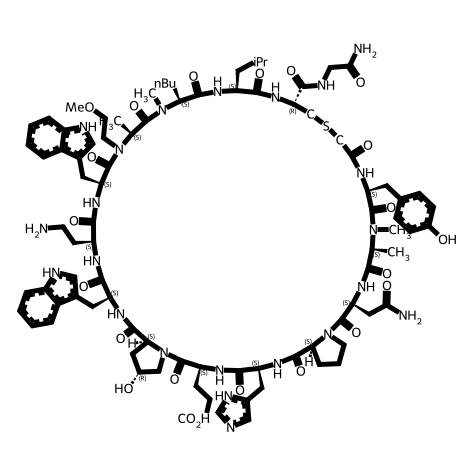 CCCC[C@H]1C(=O)N[C@@H](CC(C)C)C(=O)N[C@H](C(=O)NCC(N)=O)CSCC(=O)N[C@@H](Cc2ccc(O)cc2)C(=O)N(C)[C@@H](C)C(=O)N[C@@H](CC(N)=O)C(=O)N2CCC[C@H]2C(=O)N[C@@H](Cc2cnc[nH]2)C(=O)N[C@@H](CCC(=O)O)C(=O)N2C[C@H](O)C[C@H]2C(=O)N[C@@H](Cc2c[nH]c3ccccc23)C(=O)N[C@@H](CCN)C(=O)N[C@@H](Cc2c[nH]c3ccccc23)C(=O)N(CCOC)[C@@H](C)C(=O)N1C